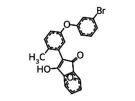 Cc1ccc(Oc2cccc(Br)c2)cc1C1=C(O)c2c(c3ccc2o3)C1=O